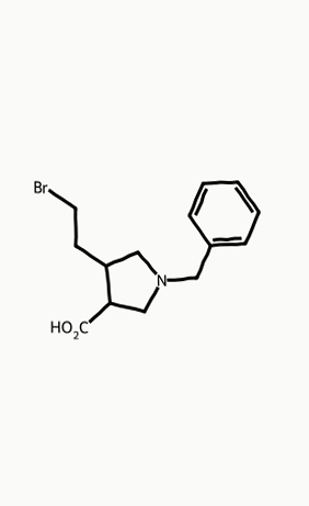 O=C(O)C1CN(Cc2ccccc2)CC1CCBr